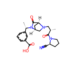 C[C@@H](CN1C[C@@H]2C[C@H]1C(=O)N2[C@@H](C)c1cccc(C(=O)O)c1)C(=O)N1CCC[C@H]1C#N